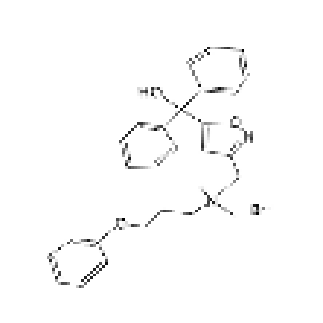 C[N+](C)(CCCOc1ccccc1)Cc1cc(C(O)(c2ccccc2)c2ccccc2)on1.[Br-]